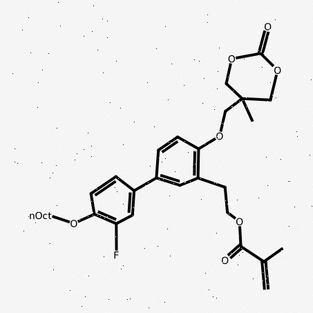 C=C(C)C(=O)OCCc1cc(-c2ccc(OCCCCCCCC)c(F)c2)ccc1OCC1(C)COC(=O)OC1